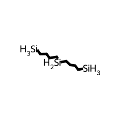 [SiH3]CCCC[SiH2]CCCC[SiH3]